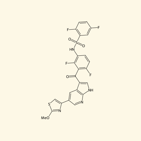 COc1nc(-c2cnc3[nH]cc(C(=O)c4c(F)ccc(NS(=O)(=O)c5cc(F)ccc5F)c4F)c3c2)cs1